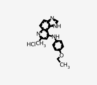 CCOc1ccc(Nc2cc(C)nc3ccc4nc[nH]c4c23)cc1.Cl